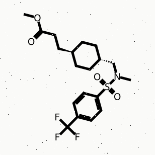 COC(=O)CC[C@H]1CC[C@H](CN(C)S(=O)(=O)c2ccc(C(F)(F)F)cc2)CC1